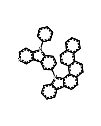 c1ccc(-n2c3ccncc3c3cc(-n4c5ccccc5c5ccc6ccc7c8ccccc8ccc7c6c54)ccc32)cc1